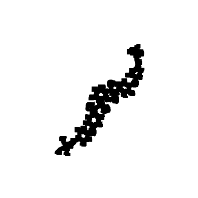 C[Si](C)(C)C#Cc1ccc(Oc2ccc(C(=O)C(=O)c3cccc(C(=O)C(=O)c4ccc(Oc5ccc(C#C[Si](C)(C)C)cc5)cc4)c3)cc2)cc1